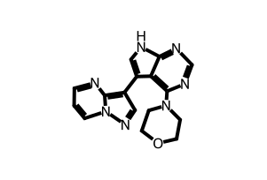 c1cnc2c(-c3c[nH]c4ncnc(N5CCOCC5)c34)cnn2c1